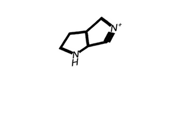 C1#[N+]CC2CCNC12